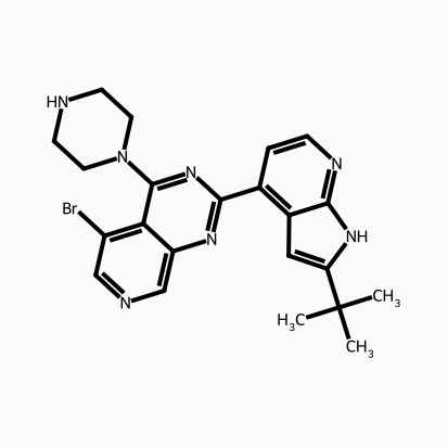 CC(C)(C)c1cc2c(-c3nc(N4CCNCC4)c4c(Br)cncc4n3)ccnc2[nH]1